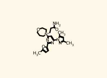 Cc1cc(C)n(-c2cc([N+]3(CCC(N)=O)CCCOCC3)nc(-c3ccc(C)o3)n2)n1